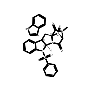 CN1C(=O)[C@@]23C[C@]4(c5c[nH]c6ccccc56)c5ccccc5N(S(=O)(=O)c5ccccc5)[C@@H]4N2C(=O)C1[S@@]3=S